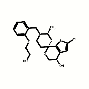 C[C@H]1C[C@@]2(CCN1Cc1ccccc1OCCO)OC[C@H](O)c1cc(Cl)sc12